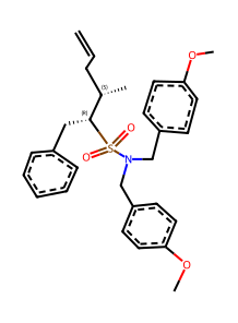 C=CC[C@H](C)[C@@H](Cc1ccccc1)S(=O)(=O)N(Cc1ccc(OC)cc1)Cc1ccc(OC)cc1